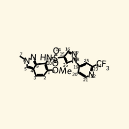 COc1ccc2cn(C)nc2c1NS(=O)(=O)c1cnn(-c2ccnc(C(F)(F)F)c2)c1